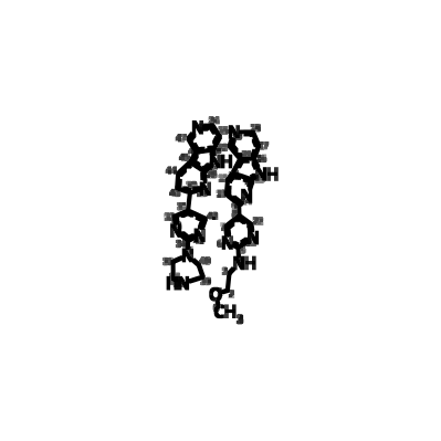 COCCNc1ncc(-c2ccc3c(n2)[nH]c2ccncc23)cn1.c1cc2[nH]c3nc(-c4cnc(N5CCNCC5)nc4)ccc3c2cn1